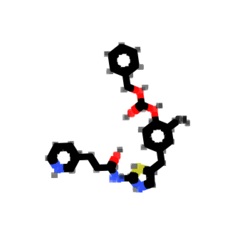 Cc1cc(Cc2cnc(NC(=O)CCc3cccnc3)s2)ccc1OC(=O)OCc1ccccc1